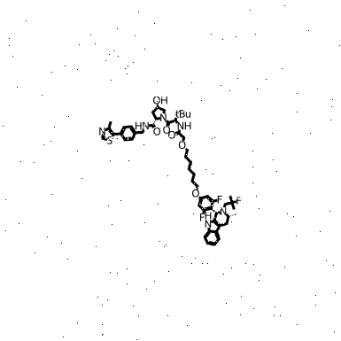 Cc1ncsc1-c1ccc(CNC(=O)[C@@H]2C[C@@H](O)CN2C(=O)C(NC(=O)COCCCCCCCOc2cc(F)c([C@@H]3c4[nH]c5ccccc5c4C[C@@H](C)N3CC(C)(C)F)c(F)c2)C(C)(C)C)cc1